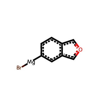 [Br][Mg][c]1ccc2cocc2c1